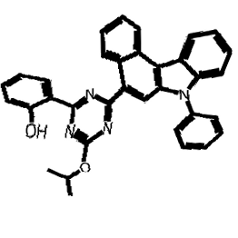 CC(C)Oc1nc(-c2ccccc2O)nc(-c2cc3c(c4ccccc24)c2ccccc2n3-c2ccccc2)n1